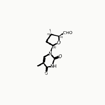 Cc1cn([C@H]2C[C@H](C)[C@@H](C=O)O2)c(=O)[nH]c1=O